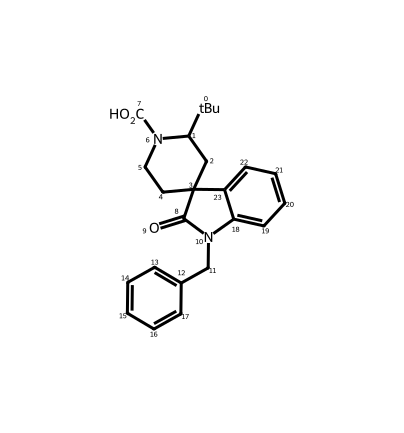 CC(C)(C)C1CC2(CCN1C(=O)O)C(=O)N(Cc1ccccc1)c1ccccc12